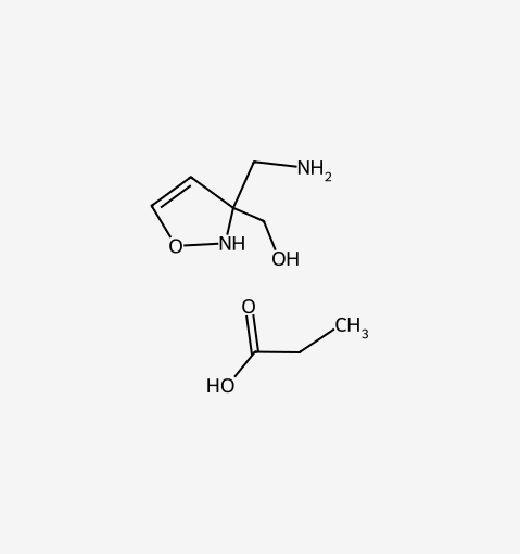 CCC(=O)O.NCC1(CO)C=CON1